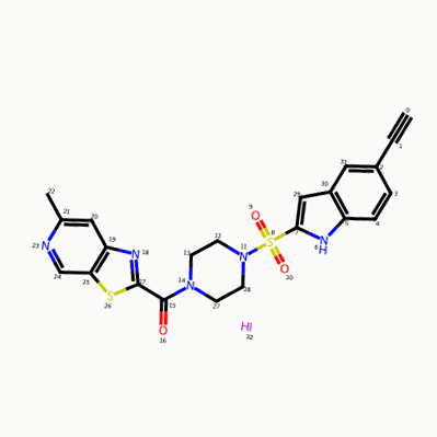 C#Cc1ccc2[nH]c(S(=O)(=O)N3CCN(C(=O)c4nc5cc(C)ncc5s4)CC3)cc2c1.I